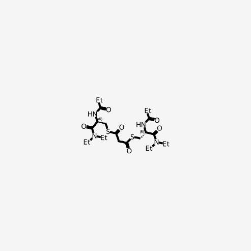 CCC(=O)N[C@@H](CSC(=O)CC(=O)SC[C@H](NC(=O)CC)C(=O)N(CC)CC)C(=O)N(CC)CC